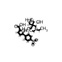 CCN(CC)CC(CC)(CC)CO.Cl.O=C(O)c1ccc(-c2ccc([N+](=O)[O-])cc2)o1